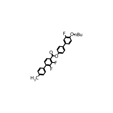 CCCCOc1ccc(-c2ccc(OC(=O)c3ccc(-c4ccc(C)cc4)c(F)c3F)cc2)cc1F